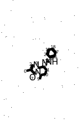 Cc1cnc2n(c1=O)C(C)CCC2=NNc1ccccc1